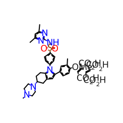 COc1ccc(-c2cc3c(n2-c2ccc(S(=O)(=O)Nc4nc(C)cc(C)n4)cc2)CCC(N2CCN(C)CC2)C3)cc1C.O=C(O)/C=C/C(=O)O.O=C(O)/C=C/C(=O)O